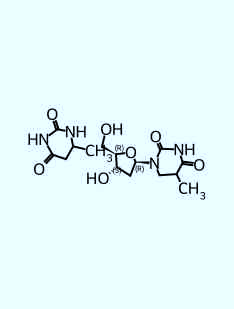 CC1CC(=O)NC(=O)N1.CC1CN([C@H]2C[C@H](O)[C@@H](CO)O2)C(=O)NC1=O